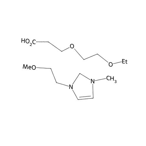 CCOCCOCCC(=O)O.COCCN1C=CN(C)C1